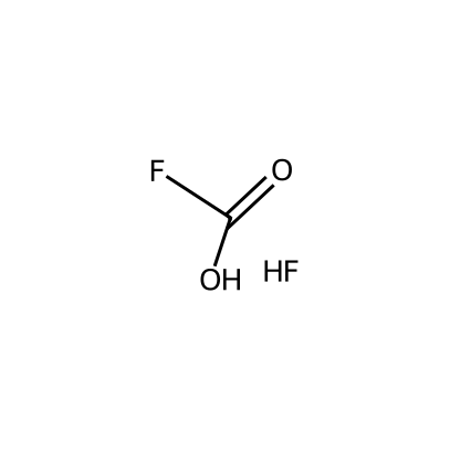 F.O=C(O)F